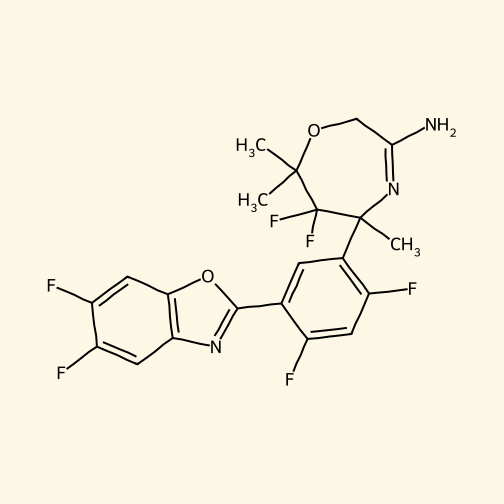 CC1(C)OCC(N)=NC(C)(c2cc(-c3nc4cc(F)c(F)cc4o3)c(F)cc2F)C1(F)F